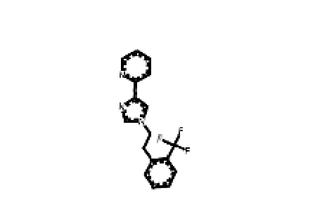 FC(F)(F)c1ccccc1CCn1cnc(-c2ccccn2)c1